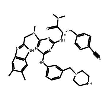 Cc1cc2nc(CN(C)c3nc(Nc4cccc(CN5CCNCC5)c4)nc(N[C@@H](Cc4ccc(C#N)cc4)C(=O)N(C)C)n3)[nH]c2cc1C